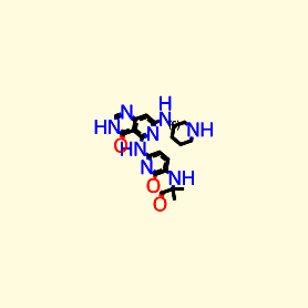 CC1(C)Nc2ccc(Nc3nc(N[C@H]4CCCNC4)cc4nc[nH]c(=O)c34)nc2OC1=O